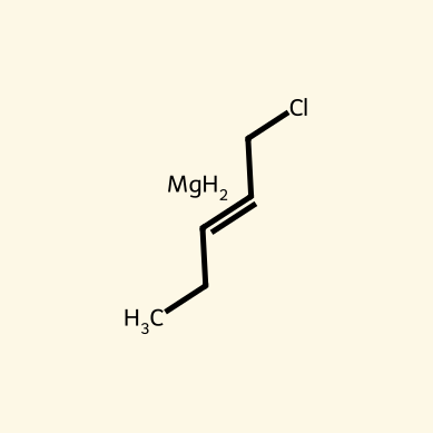 CC/C=C/CCl.[MgH2]